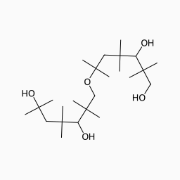 CC(C)(O)CC(C)(C)C(O)C(C)(C)COC(C)(C)CC(C)(C)C(O)C(C)(C)CO